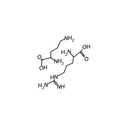 N=C(N)NCCCC(N)C(=O)O.NCCCC(N)C(=O)O